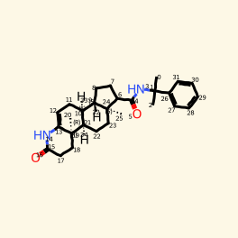 CC(C)(NC(=O)C1CC[C@H]2[C@@H]3CC=C4NC(=O)CC[C@]4(C)[C@@H]3CC[C@]12C)c1ccccc1